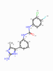 Cc1nc(N)[nH]c1-c1cccc(NC(=O)Nc2ccc(F)c(Cl)c2)c1